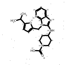 CC(C)c1ccc(Cn2c(NC3CCN(C(=O)O)CC3)nc3cccnc32)o1